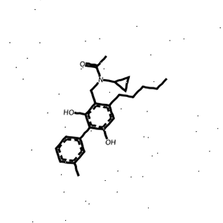 CCCCCc1cc(O)c(-c2cccc(C)c2)c(O)c1CN(C(C)=O)C1CC1